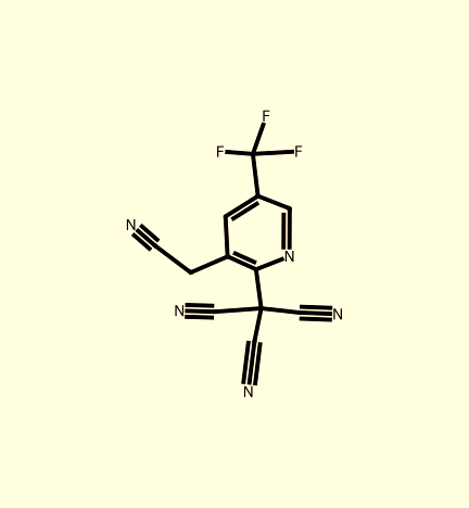 N#CCc1cc(C(F)(F)F)cnc1C(C#N)(C#N)C#N